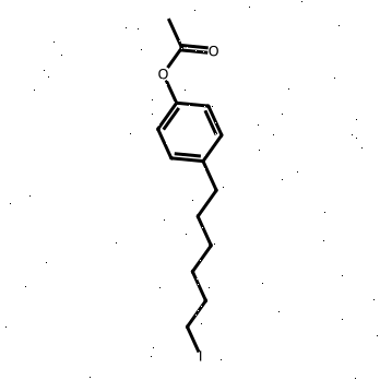 CC(=O)Oc1ccc(CCCCCCI)cc1